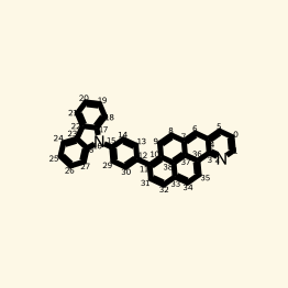 c1cnc2c(c1)cc1ccc3c(-c4ccc(-n5c6ccccc6c6ccccc65)cc4)ccc4ccc2c1c43